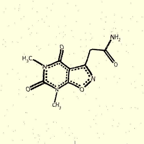 Cn1c(=O)c2c(CC(N)=O)noc2n(C)c1=O